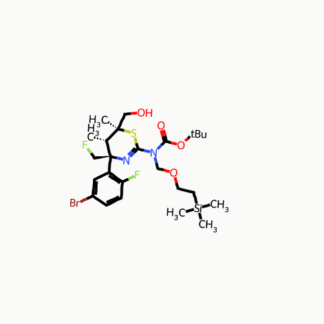 C[C@@H]1[C@@](C)(CO)SC(N(COCC[Si](C)(C)C)C(=O)OC(C)(C)C)=N[C@]1(CF)c1cc(Br)ccc1F